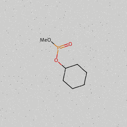 CO[P](=O)OC1CCCCC1